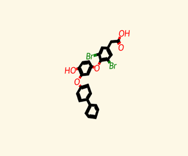 O=C(O)Cc1cc(Br)c(Oc2ccc(O)c(Oc3ccc(-c4ccccc4)cc3)c2)c(Br)c1